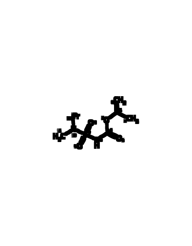 C=C(C)OC(=O)NS(=O)(=O)N(C)C(C)C